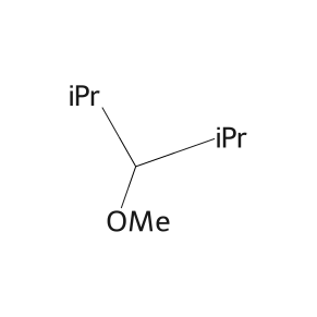 [C]OC(C(C)C)C(C)C